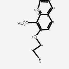 O=C(O)c1c(OCCF)ccc2cccnc12